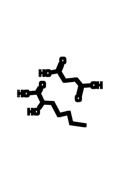 CCCCCC(O)C(=O)O.O=C(O)CCC(=O)O